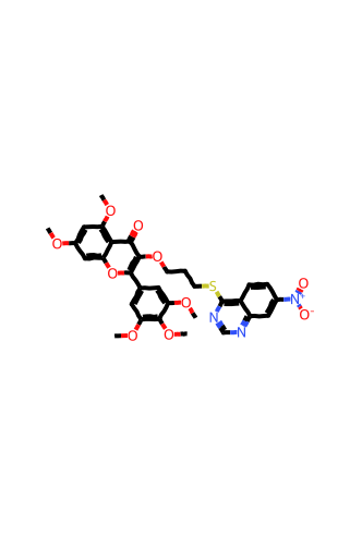 COc1cc(OC)c2c(=O)c(OCCCSc3ncnc4cc([N+](=O)[O-])ccc34)c(-c3cc(OC)c(OC)c(OC)c3)oc2c1